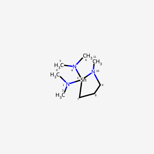 C[N](C)[Sn]1([N](C)C)[CH2]CC[N]1C